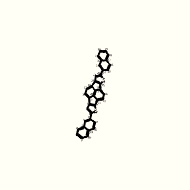 c1ccc2cc(-c3cc4c(s3)-c3ccc5c6c(ccc-4c36)-c3cc(-c4ccc6ccccc6c4)sc3-5)ccc2c1